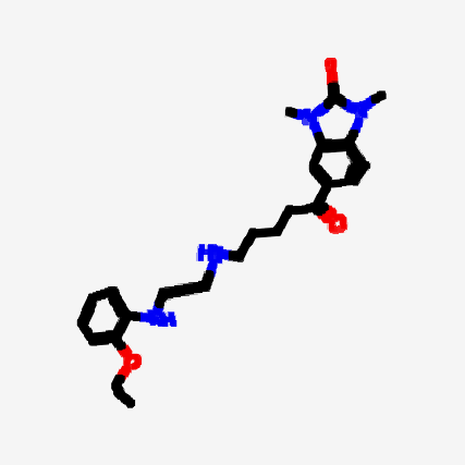 CCOc1ccccc1NCCNCCCCC(=O)c1ccc2c(c1)n(C)c(=O)n2C